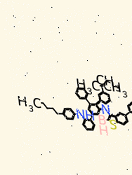 CCCCCc1ccc(Nc2ccccc2-c2cc(-c3ccccc3)c3c4cc(C(C)(C)C)ccc4n4c3c2Bc2sc3ccc(-c5ccccc5)cc3c2-4)cc1